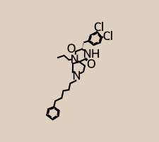 CCCN1C(=O)[C@H](Cc2ccc(Cl)c(Cl)c2)NC(=O)C12CCN(CCCCCCc1ccccc1)CC2